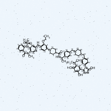 CCOc1cc(N2CCC(C(=O)NC(C)c3ccc(CN4CCC(Cc5ccc(-n6c(O)nnc6-c6cc(C(C)C)c(O)cc6O)cc5)CC4)cc3)CC2)ccc1Nc1ncc2c(n1)N(S(C)(=O)=O)c1ccccc1C(=O)N2C